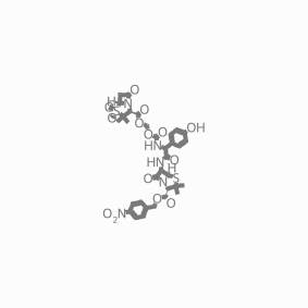 CC1(C)S[C@@H]2C(NC(=O)C(NC(=O)OCOC(=O)[C@@H]3N4C(=O)C[C@H]4S(=O)(=O)C3(C)C)c3ccc(O)cc3)C(=O)N2[C@H]1C(=O)OCc1ccc([N+](=O)[O-])cc1